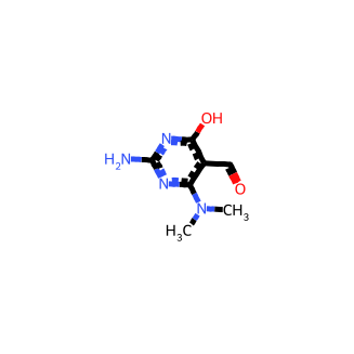 CN(C)c1nc(N)nc(O)c1C=O